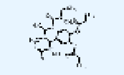 CCC(=O)Oc1ccc(C(C(C)C(C)OC(=O)C(C)CC)[C@H](N)C(=O)O)cc1OC(=O)CC